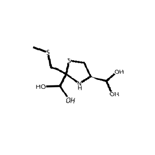 CSCC1(C(O)O)N[C@H](C(O)O)CS1